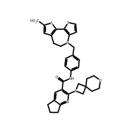 O=C(O)c1cc2c(s1)-c1sccc1N(Cc1ccc(NC(=O)c3cc4c(nc3N3CC5(CCOCC5)C3)CCC4)cc1)CC2